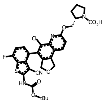 CC(C)(C)OC(=O)Nc1sc2c(F)ccc(-c3c4c(c5ccc(OC[C@@H]6CCCN6C(=O)O)nc5c3Cl)COC4)c2c1C#N